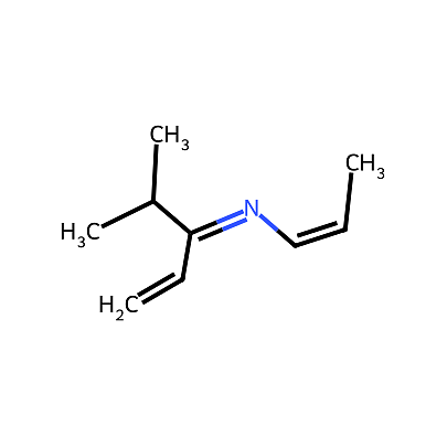 C=C/C(=N\C=C/C)C(C)C